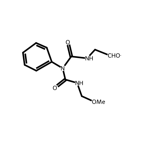 COCNC(=O)N(C(=O)NC[C]=O)c1ccccc1